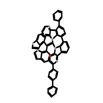 c1ccc(-c2ccc(-c3cnc4c(n3)c3cccc5c6ccc(-c7ccccc7)c7c8nccnc8n(/c(=C(\c8cccc9sccc89)c8cccc9ccsc89)n4c53)c67)cc2)cc1